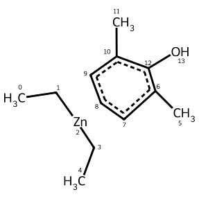 C[CH2][Zn][CH2]C.Cc1cccc(C)c1O